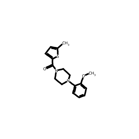 COc1ccccc1N1CCN(C(=O)c2ccc(C)s2)CC1